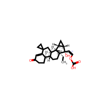 CC[C@]12CC[C@H]3[C@@H](CC4(CC4)C4=CC(=O)CC[C@@H]43)[C@@H]1[C@@H]1C[C@@H]1[C@@]2(O)/C=C\OC(=O)O